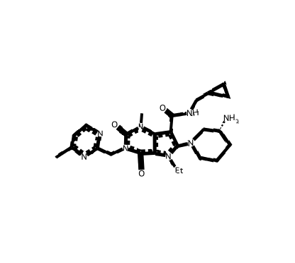 CCn1c(N2CCC[C@@H](N)C2)c(C(=O)NCC2CC2)c2c1c(=O)n(Cc1nccc(C)n1)c(=O)n2C